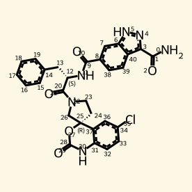 NC(=O)c1n[nH]c2cc(C(=O)N[C@@H](Cc3ccccc3)C(=O)N3CC[C@@]4(C3)OC(=O)Nc3ccc(Cl)cc34)ccc12